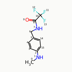 CNc1ccc(CNC(=O)C(F)(F)F)cc1